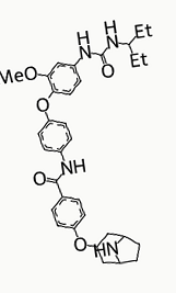 CCC(CC)NC(=O)Nc1ccc(Oc2ccc(NC(=O)c3ccc(OC4CC5CCC(C4)N5)cc3)cc2)c(OC)c1